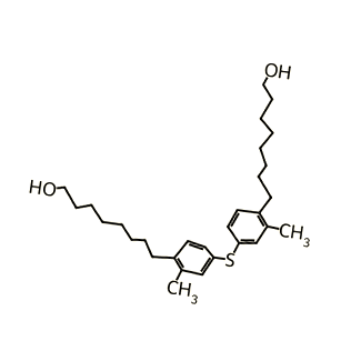 Cc1cc(Sc2ccc(CCCCCCCCO)c(C)c2)ccc1CCCCCCCCO